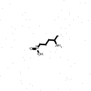 CC(N)CCC[PH](=O)O